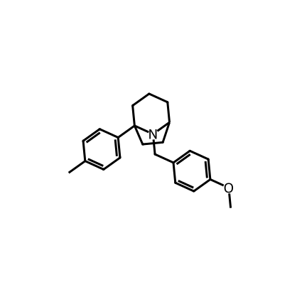 COc1ccc(CN2C3CCCC2(c2ccc(C)cc2)CC3)cc1